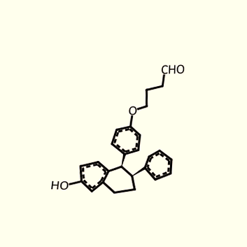 O=CCCCOc1ccc([C@@H]2c3ccc(O)cc3CC[C@@H]2c2ccccc2)cc1